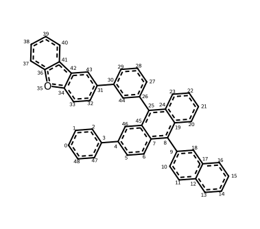 c1ccc(-c2ccc3c(-c4ccc5ccccc5c4)c4ccccc4c(-c4cccc(-c5ccc6oc7ccccc7c6c5)c4)c3c2)cc1